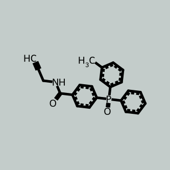 C#CCNC(=O)c1ccc(P(=O)(c2ccccc2)c2cccc(C)c2)cc1